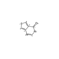 O=C1[N]C=Nc2cscc21